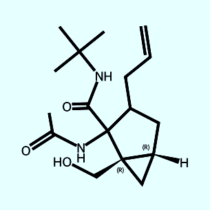 C=CCC1C[C@@H]2C[C@]2(CO)C1(NC(C)=O)C(=O)NC(C)(C)C